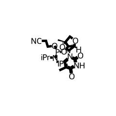 Cc1cn([C@@H]2O[C@]3(C)CO[C@H]2C3OP(OCCC#N)N(C(C)C)C(C)C)c(=O)[nH]c1=O